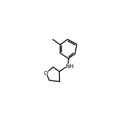 Cc1cccc(NC2CCOC2)c1